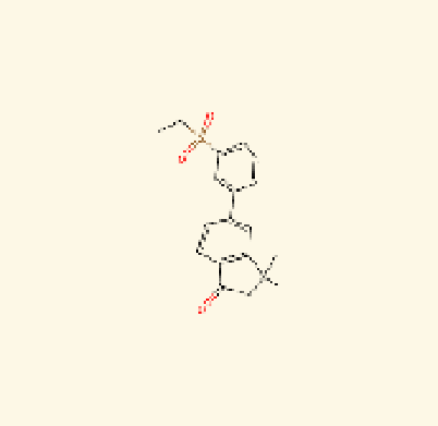 CCS(=O)(=O)c1cccc(-c2ccc3c(c2)C(C)(C)CC3=O)c1